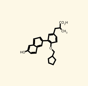 CC(Cc1ccc(OCC2CCCC2)c(-c2ccc3cc(O)ccc3c2)c1)C(=O)O